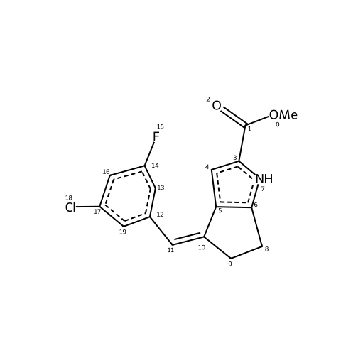 COC(=O)c1cc2c([nH]1)CCC2=Cc1cc(F)cc(Cl)c1